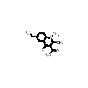 CCc1ccc2c(c1)c(=O)c(C(N)=O)c(C)n2C